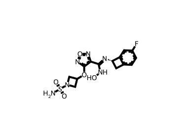 NS(=O)(=O)N1CC(Oc2nonc2/C(=N/[C@H]2Cc3ccc(F)cc32)NO)C1